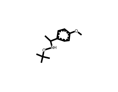 COc1ccc(C(C)NOC(C)(C)C)cc1